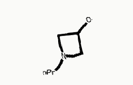 CCCN1CC([O])C1